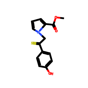 COC(=O)c1cccn1CC(=S)c1ccc(O)cc1